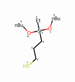 CCCCO[Si](CC)(CCCS)OCCCC